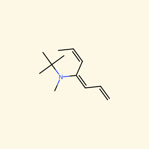 C=C/C=C(\C=C/C)N(C)C(C)(C)C